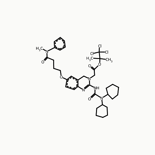 CN(C(=O)CCCOc1ccc2c(c1)CN(CC(=O)OC(C)(C)C(Cl)(Cl)Cl)C(NC(=O)N(C1CCCCC1)C1CCCCC1)=N2)c1ccccc1